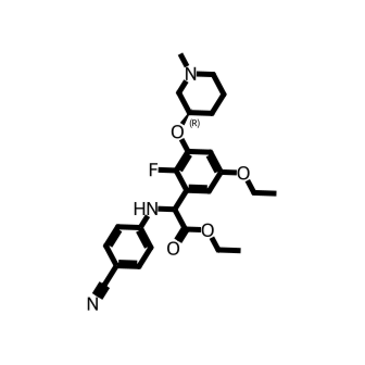 CCOC(=O)C(Nc1ccc(C#N)cc1)c1cc(OCC)cc(O[C@@H]2CCCN(C)C2)c1F